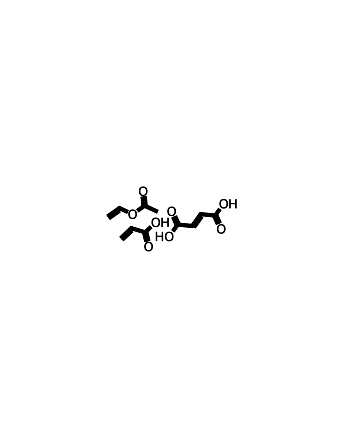 C=CC(=O)O.C=COC(C)=O.O=C(O)C=CC(=O)O